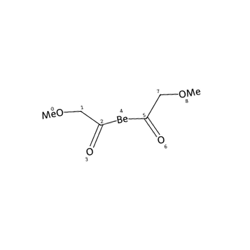 COC[C](=O)[Be][C](=O)COC